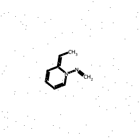 C=NN1C=CC=C/C1=C/C